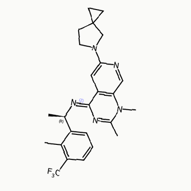 Cc1c([C@@H](C)/N=c2\nc(C)n(C)c3cnc(N4CCC5(CC5)C4)cc23)cccc1C(F)(F)F